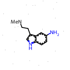 CNCCc1c[nH]c2ccc(N)cc12